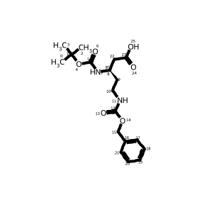 CC(C)(C)OC(=O)N[C@H](CCNC(=O)OCc1ccccc1)CC(=O)O